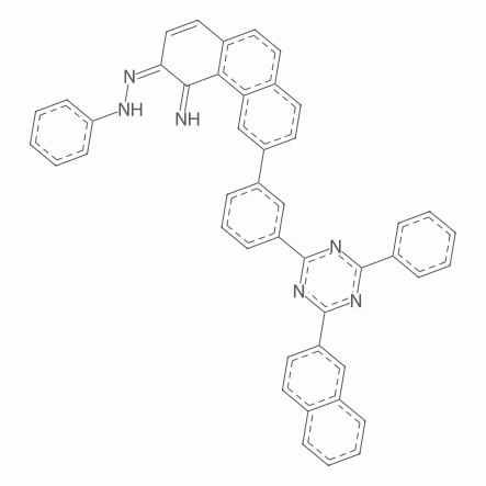 N=C1/C(=N\Nc2ccccc2)C=Cc2ccc3ccc(-c4cccc(-c5nc(-c6ccccc6)nc(-c6ccc7ccccc7c6)n5)c4)cc3c21